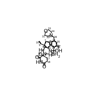 BC(O)(Nc1cccc(C=C)c1CN(C)C1(O)CCC(=O)NC1=O)c1ccc(CN2CCOCC2)cc1F